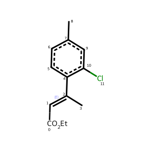 CCOC(=O)/C=C(\C)c1ccc(C)cc1Cl